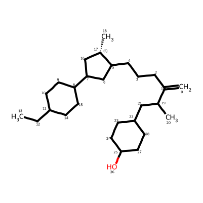 C=C(CCCC1CC(C2CCC(CC)CC2)C[C@@H]1C)C(C)CC1CCC(O)CC1